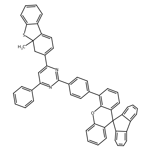 CC12CC(c3cc(-c4ccccc4)nc(-c4ccc(-c5cccc6c5Oc5ccccc5C65c6ccccc6-c6ccccc65)cc4)n3)=CC=C1c1ccccc1S2